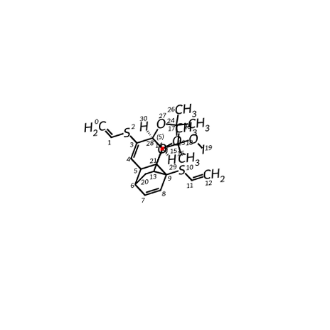 C=CSC1=CC2C3C=CC(SC=C)(C(OC(C)(C)OI)C3)C2[C@@H]2OC(C)(C)O[C@H]12